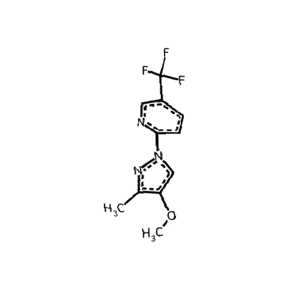 COc1cn(-c2ccc(C(F)(F)F)cn2)nc1C